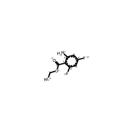 N#CCOC(=O)c1c(N)cc(F)cc1F